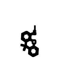 CC1(C)c2ccccc2Oc2c(SI)cccc21